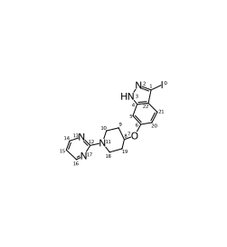 Ic1n[nH]c2cc(OC3CCN(c4ncccn4)CC3)ccc12